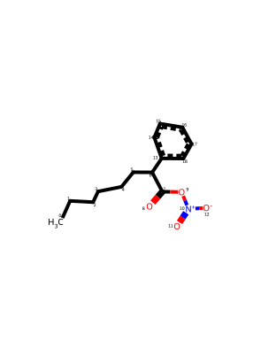 CCCCCCC(C(=O)O[N+](=O)[O-])c1ccccc1